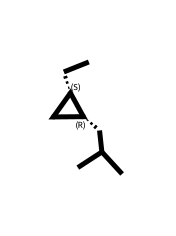 CC[C@H]1C[C@H]1CC(C)C